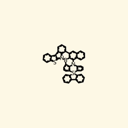 c1ccc2c(c1)-c1ccccc1[Si]21c2ccccc2N2c3c(cccc31)B1c3c(cc4ccccc4c32)-c2cccc3c4c5ccccc5sc4n1c23